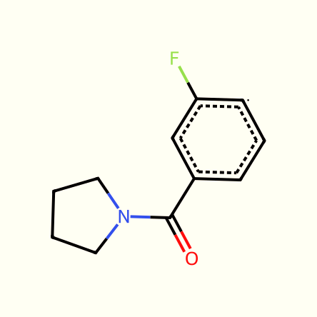 O=C(c1cc[c]c(F)c1)N1CCCC1